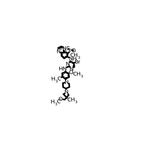 COCC1(C)CN(C2CCN(c3cc(OC)c(Nc4ncc(Br)c(Nc5ccc6nccnc6c5P(C)(C)=O)n4)cc3C)CC2)C1